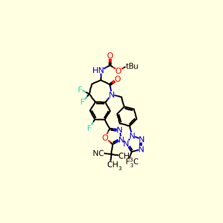 CC(C)(C)OC(=O)NC1CC(F)(F)c2cc(F)c(-c3nnc(C(C)(C)C#N)o3)cc2N(Cc2ccc(-n3nnc(C(F)(F)F)n3)cc2)C1=O